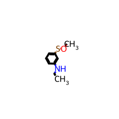 CCNc1cccc(SOC)c1